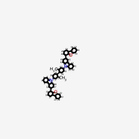 Cc1cc(-n2c3ccccc3c3cc(-c4cccc5c4oc4ccccc45)ccc32)ccc1-c1ccc(-n2c3ccccc3c3cc(-c4cccc5c4oc4ccccc45)ccc32)cc1C